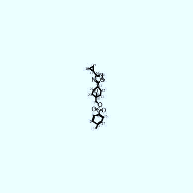 Cc1ccc(S(=O)(=O)OCC23CCC(c4nc(C5CC5)no4)(CC2)OC3)cc1